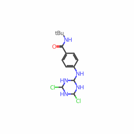 CC(C)(C)NC(=O)c1ccc(NC2NC(Cl)NC(Cl)N2)cc1